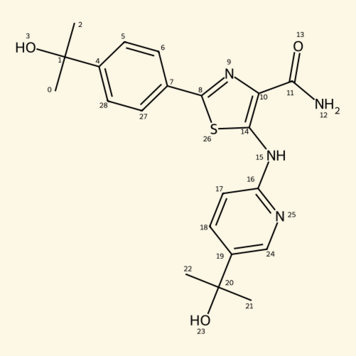 CC(C)(O)c1ccc(-c2nc(C(N)=O)c(Nc3ccc(C(C)(C)O)cn3)s2)cc1